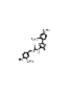 C=Nc1ccc(COC(=O)Nc2sc(-c3ccc(OC)cc3OC)nc2C)cc1SC